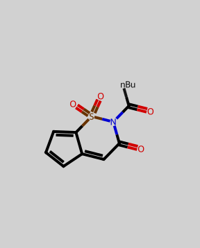 CCCCC(=O)N1C(=O)C=C2C=CC=C2S1(=O)=O